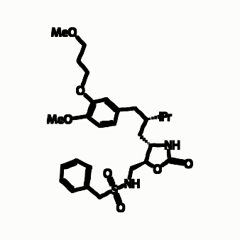 COCCCOc1cc(C[C@@H](C[C@@H]2NC(=O)O[C@H]2CNS(=O)(=O)Cc2ccccc2)C(C)C)ccc1OC